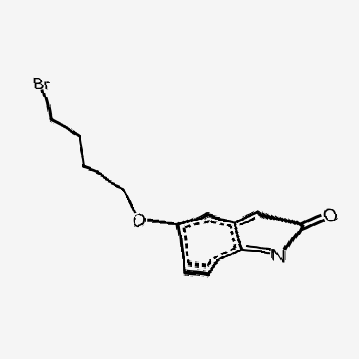 O=C1C=c2cc(OCCCCBr)ccc2=N1